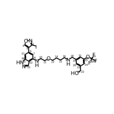 Cc1nocc1-c1cc(NCCOCCCCNCc2cc(CO)cc(OC(F)(F)F)c2)c2cn[nH]c2c1